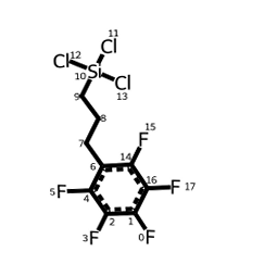 Fc1c(F)c(F)c(CCC[Si](Cl)(Cl)Cl)c(F)c1F